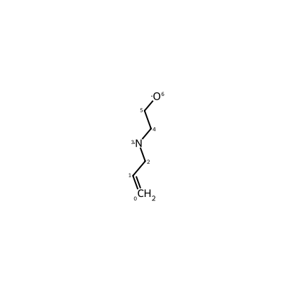 C=CC[N]CC[O]